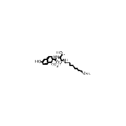 CCCCCCCCCCCCCCCCCCNC(=O)[C@@H](NC(=O)c1ccc2cc(O)ccc2c1C(=O)O)[C@@H](C)O